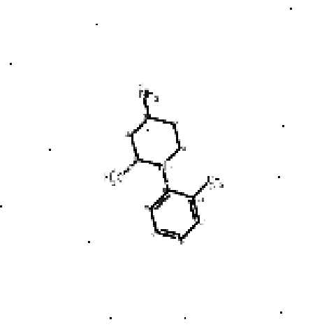 CC1CC(N)CCN1c1ccccc1C(F)(F)F